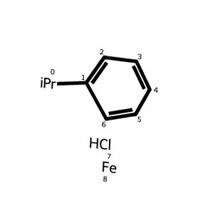 CC(C)c1ccccc1.Cl.[Fe]